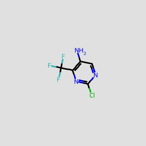 Nc1cnc(Cl)nc1C(F)(F)F